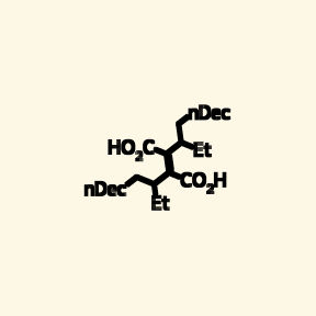 CCCCCCCCCCCC(CC)/C(C(=O)O)=C(\C(=O)O)C(CC)CCCCCCCCCCC